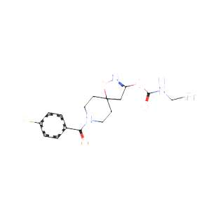 CC(C)CNC(=O)OC1=NOC2(CCN(C(=O)c3ccc(F)cc3)CC2)C1